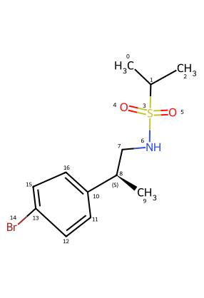 CC(C)S(=O)(=O)NC[C@@H](C)c1ccc(Br)cc1